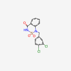 O=C1NS(=O)(=O)N(Cc2ccc(Cl)c(Cl)c2)c2ccccc21